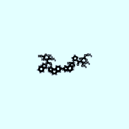 COC(=O)N[C@H](C(=O)N1CCC[C@H]1c1nc2ccc3cc(-c4ccc5c(ccc6nc([C@@H]7c8ccccc8CN7C(=O)[C@@H](NC(=O)O)C(C)C)[nH]c65)c4)sc3c2[nH]1)C(C)C